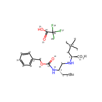 CC(C)(C)C[C@@H](CN[C@@H](C[Si](C)(C)C)C(=O)O)NC(=O)OCc1ccccc1.O=C(O)C(F)(F)F